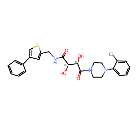 O=C(NCc1cc(-c2ccccc2)cs1)[C@H](O)[C@@H](O)C(=O)N1CCN(c2ccccc2Cl)CC1